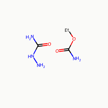 CCOC(N)=O.NNC(N)=O